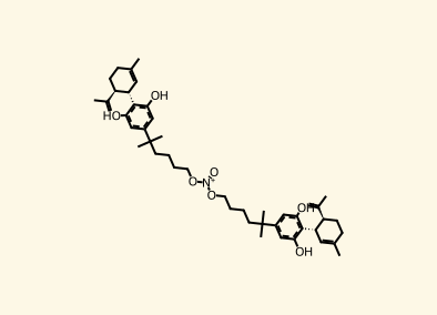 C=C(C)[C@H]1CCC(C)=C[C@@H]1c1c(O)cc(C(C)(C)CCCCO[N+](=O)OCCCCC(C)(C)c2cc(O)c([C@H]3C=C(C)CC[C@@H]3C(=C)C)c(O)c2)cc1O